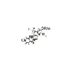 COCOc1c(C)cc(-c2nc3cc(=O)ccc-3c(F)n2F)cc1C